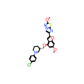 COc1cc(OC[C@H]2CCCN(c3ccc(Cl)cc3)C2)c2cc(-c3cn4nc(OC)sc4n3)oc2c1